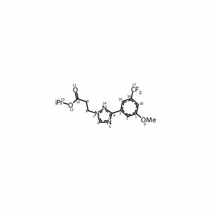 COc1cc(-c2ncn(CCC(=O)OC(C)C)n2)cc(C(F)(F)F)c1